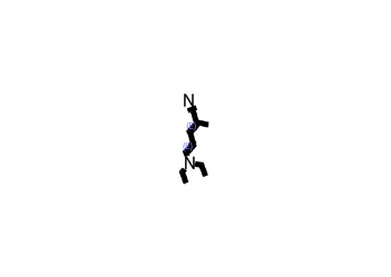 CCN(/C=C/C=C(\C)C#N)CC